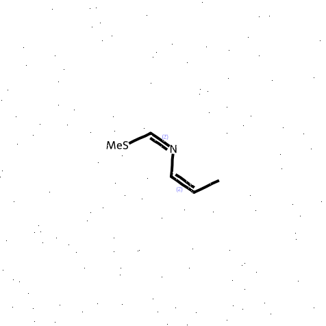 C/C=C\N=C/SC